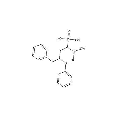 O=S(O)C(CC(Cc1ccccc1)Oc1ccccc1)P(=O)(O)O